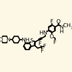 CNC(=O)c1cc(OCF)c(NCC#Cc2sc3c(NC4CCC(N5CCOCC5)CC4)cccc3c2CC(F)(F)F)cc1F